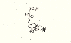 C[C@H](CCC(=O)NCCS(=O)(=O)O)[C@H]1CC[C@H]2[C@@H]3[C@@H](O)CC4CC5(CC[C@]4(C)[C@H]3CC[C@]12C)N=N5